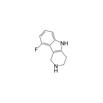 Fc1cccc2[nH]c3c(c12)CNCC3